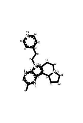 Cc1cnc2c(n1)c1c(n2CCc2ccncc2)CCN2CCCC12